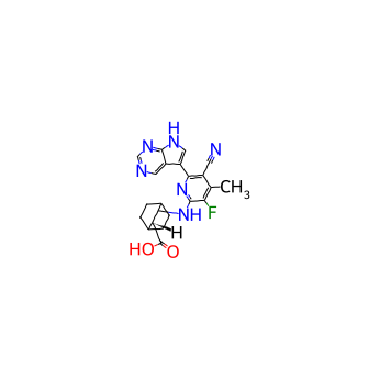 Cc1c(F)c(NC2C3CCC(CC3)[C@H]2C(=O)O)nc(-c2c[nH]c3ncncc23)c1C#N